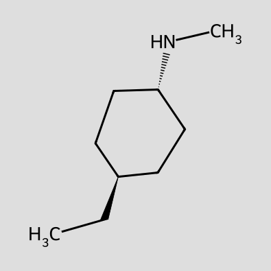 CC[C@H]1CC[C@H](NC)CC1